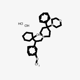 Cl.Cl.OC1(C(CN2CCC(c3ccccc3)(N3CCOCC3)CC2)c2cccc(OC(F)(F)F)c2)CCCCC1